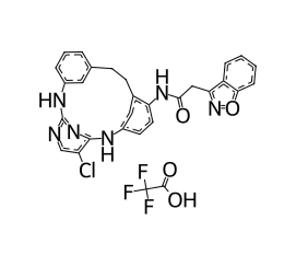 O=C(Cc1noc2ccccc12)Nc1ccc2cc1CCc1cccc(c1)Nc1ncc(Cl)c(n1)N2.O=C(O)C(F)(F)F